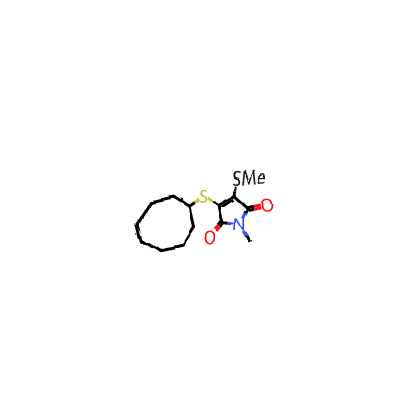 CSC1=C(SC2CCCCCCC2)C(=O)N(C)C1=O